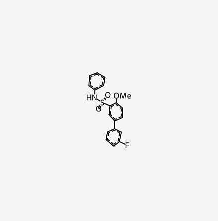 COc1ccc(-c2cccc(F)c2)cc1S(=O)(=O)Nc1ccccc1